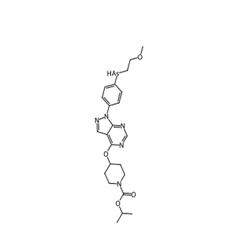 COCC[AsH]c1ccc(-n2ncc3c(OC4CCN(C(=O)OC(C)C)CC4)ncnc32)cc1